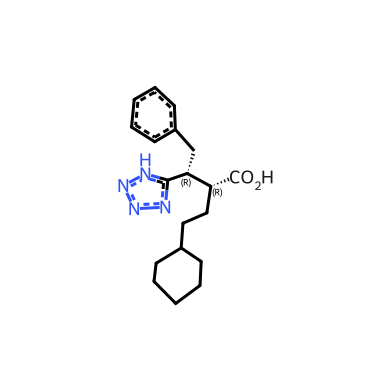 O=C(O)[C@H](CCC1CCCCC1)[C@@H](Cc1ccccc1)c1nnn[nH]1